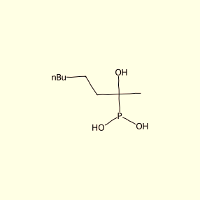 CCCCCCC(C)(O)P(O)O